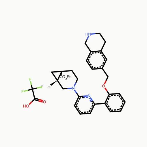 CCOC(=O)[C@@]12CCN(c3cccc(-c4ccccc4OCc4ccc5c(c4)CCNC5)n3)C[C@@H]1C2.O=C(O)C(F)(F)F